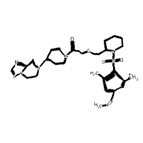 COc1cc(C)c(S(=O)(=O)N2CCCCC2COCC(=O)N2CCC(N3CCn4ncnc4C3)CC2)c(C)c1